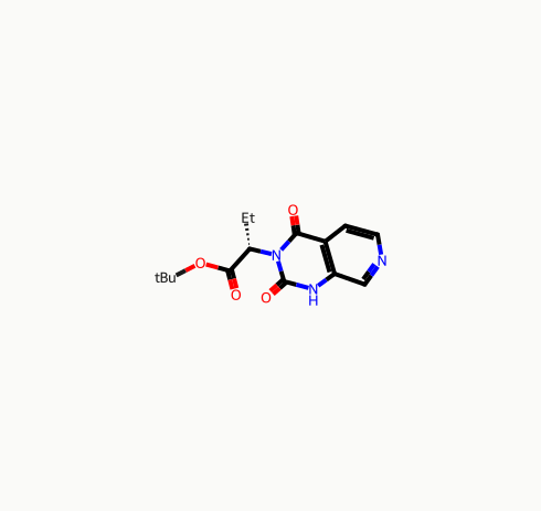 CC[C@@H](C(=O)OC(C)(C)C)n1c(=O)[nH]c2cnccc2c1=O